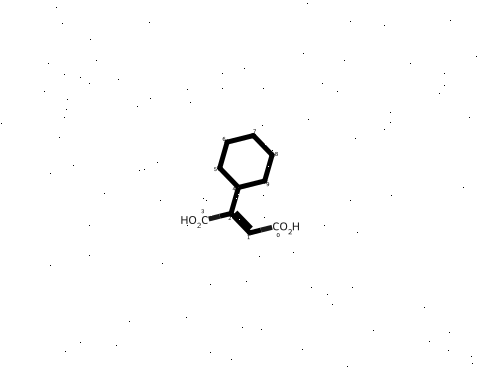 O=C(O)/C=C(/C(=O)O)C1CCCCC1